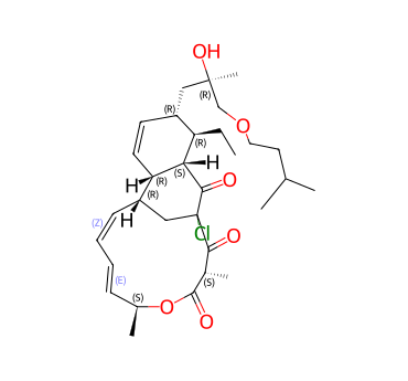 CC[C@H]1[C@@H]2C(=O)C3(Cl)C[C@H](/C=C\C=C\[C@H](C)OC(=O)[C@@H](C)C3=O)[C@@H]2C=C[C@@H]1C[C@@](C)(O)COCCC(C)C